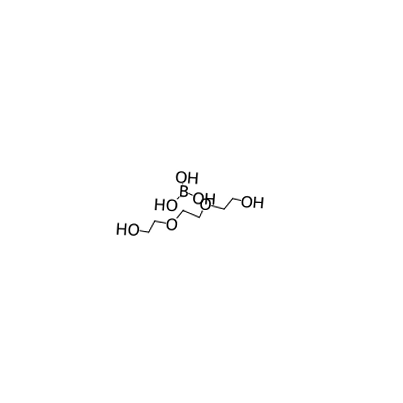 OB(O)O.OCCOCCOCCO